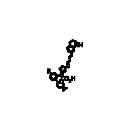 O=C(O)[C@H](c1cc(F)ccc1[C@H]1CCC2(CC2)CO1)N1CC[C@@H](OCCCCc2ccc3c(c2)NCCC3)C1